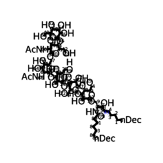 CCCCCCCCCCCCC/C=C/[C@@H](O)[C@H](CO[C@@H]1OC(CO)[C@@H](O[C@@H]2OC(CO)[C@H](O[C@@H]3OC(CO)[C@H](O)[C@H](O[C@@H]4OC(CO[C@@H]5OC(CO)[C@@H](O[C@@H]6OC(CO)[C@H](O)[C@H](O)C6O)[C@H](O)C5NC(C)=O)[C@H](O)[C@H](O)C4NC(C)=O)C3O)[C@H](O)C2O)[C@H](O)C1O)NC(=O)CCCCCCCCCCCCCCC